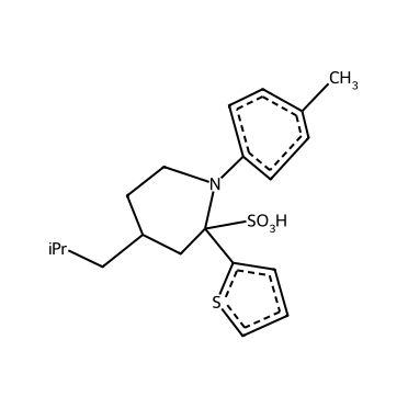 Cc1ccc(N2CCC(CC(C)C)CC2(c2cccs2)S(=O)(=O)O)cc1